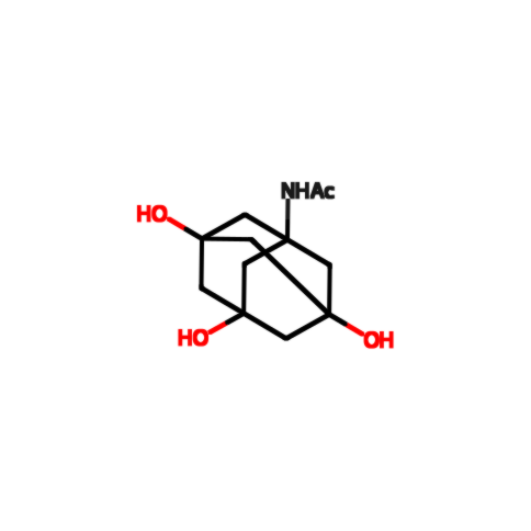 CC(=O)NC12CC3(O)CC(O)(CC(O)(C3)C1)C2